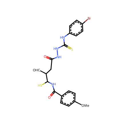 COc1ccc(C(=O)NC(S)C(C=O)CC(=O)NNC(=S)Nc2ccc(Br)cc2)cc1